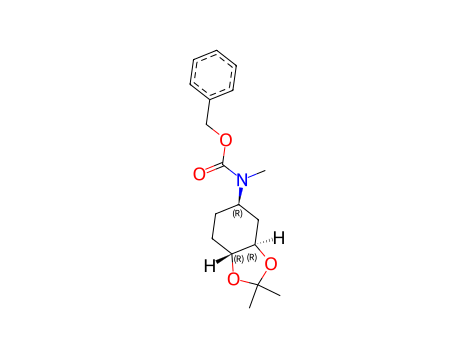 CN(C(=O)OCc1ccccc1)[C@@H]1CC[C@H]2OC(C)(C)O[C@@H]2C1